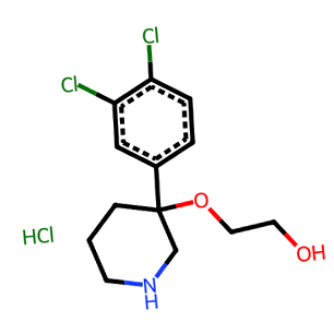 Cl.OCCOC1(c2ccc(Cl)c(Cl)c2)CCCNC1